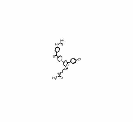 CC(=O)NCCNc1cc(N2CCN(C(=O)c3ccc(NC(N)=S)cc3)CC2)nc(-c2ccc(Cl)cc2)n1